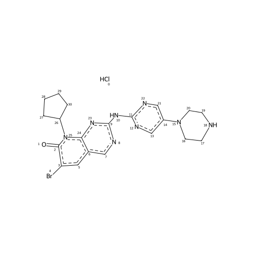 Cl.O=c1c(Br)cc2cnc(Nc3ncc(N4CCNCC4)cn3)nc2n1C1CCCC1